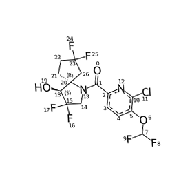 O=C(c1ccc(OC(F)F)c(Cl)n1)N1CC(F)(F)[C@@H](O)[C@]12CCC(F)(F)C2